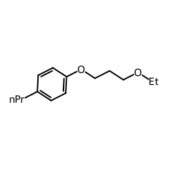 CCCc1ccc(OCCCOCC)cc1